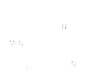 CNC(=O)C1C[N]CCN(C)C1